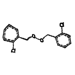 Clc1ccccc1COOCc1ccccc1Cl